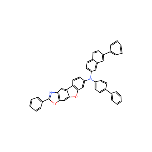 c1ccc(-c2ccc(N(c3ccc4ccc(-c5ccccc5)cc4c3)c3ccc4c(c3)oc3cc5oc(-c6ccccc6)nc5cc34)cc2)cc1